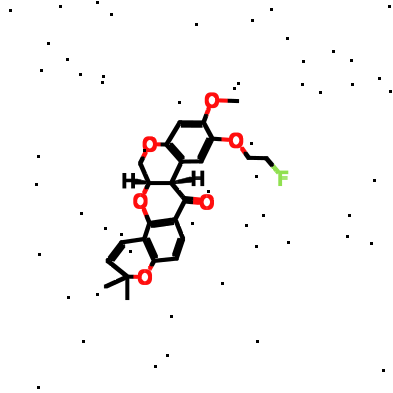 COc1cc2c(cc1OCCF)[C@@H]1C(=O)c3ccc4c(c3O[C@@H]1CO2)C=CC(C)(C)O4